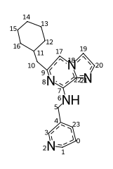 c1cncc(CNc2nc(CC3CCCCC3)cn3ccnc23)c1